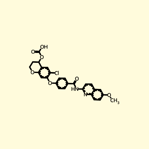 COc1ccc2nc(NC(=O)c3ccc(Oc4cc5c(cc4Cl)C(OC(=O)O)CCO5)cc3)ccc2c1